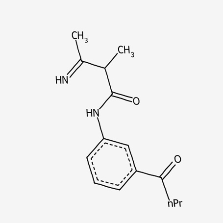 CCCC(=O)c1cccc(NC(=O)C(C)C(C)=N)c1